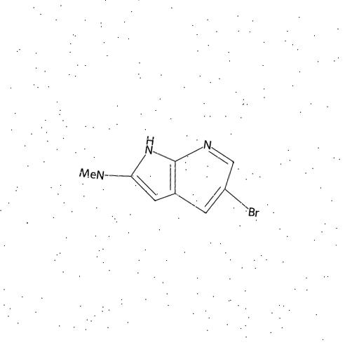 CNc1cc2cc(Br)cnc2[nH]1